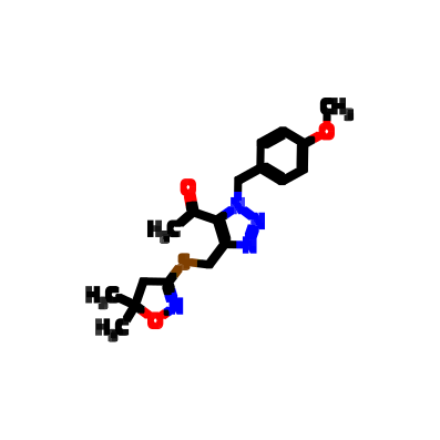 COc1ccc(Cn2nnc(CSC3=NOC(C)(C)C3)c2C(C)=O)cc1